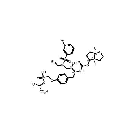 CC(C)CN(C[C@@H](O)[C@H](Cc1ccc(OCP(=O)(O)O[C@@H](C)C(=O)O)cc1)NC(=O)O[C@H]1CO[C@H]2OCC[C@H]21)S(=O)(=O)c1ccc[n+]([O-])c1